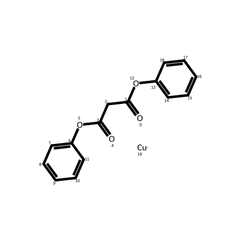 O=C(CC(=O)Oc1ccccc1)Oc1ccccc1.[Cu]